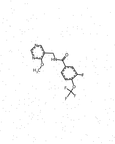 COc1ncncc1CNC(=O)c1ccc(OC(F)(F)F)c(F)c1